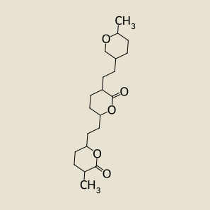 CC1CCC(CCC2CCC(CCC3CCC(C)C(=O)O3)OC2=O)CO1